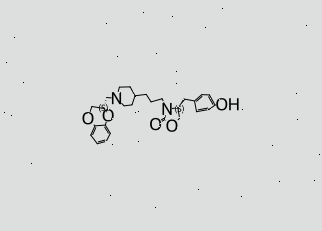 O=C1OC[C@H](Cc2ccc(O)cc2)N1CCCC1CCN(C[C@H]2COc3ccccc3O2)CC1